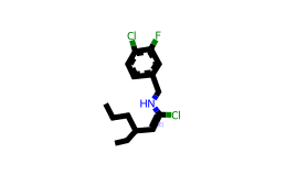 CCCC(/C=C(/Cl)NCc1ccc(Cl)c(F)c1)CC